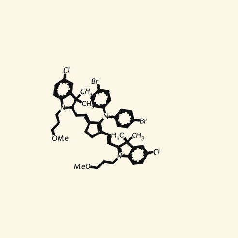 COCCCN1c2ccc(Cl)cc2C(C)(C)C1C/C=C1\CCC(/C=C/C2=[N+](CCCOC)c3ccc(Cl)cc3C2(C)C)=C1N(c1ccc(Br)cc1)c1ccc(Br)cc1